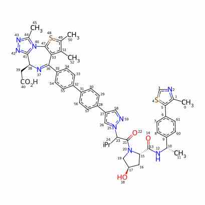 Cc1ncsc1-c1ccc([C@H](C)NC(=O)[C@@H]2C[C@@H](O)CN2C(=O)C(C(C)C)n2cc(-c3ccc(-c4ccc(C5=N[C@@H](CC(=O)O)c6nnc(C)n6-c6sc(C)c(C)c65)cc4)cc3)cn2)cc1